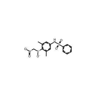 Cc1cc(NS(=O)(=O)c2ccccc2)cc(C)c1[S+]([O-])C[N+](=O)[O-]